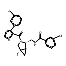 O=C(NC[C@@H]1C2C[C@H]2CN1C(=O)c1ncsc1-c1cccc(Cl)c1)c1cccc(Cl)c1